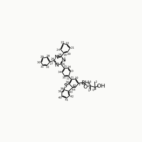 CC(C)(O)C(C)(C)OBc1cc(-c2ccc(-c3nc(-c4ccccc4)nc(-c4ccccc4)n3)cc2)c2sc3ccccc3c2c1